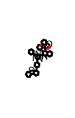 c1ccc(-c2nc(-c3ccc(-c4cccc5c4oc4ccccc45)cc3)nc(-c3nc4ccccc4c4c3-c3ccccc3C43c4ccccc4Oc4ccccc43)n2)cc1